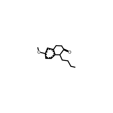 CCCCC1C(=O)CCc2cc(OC)ccc21